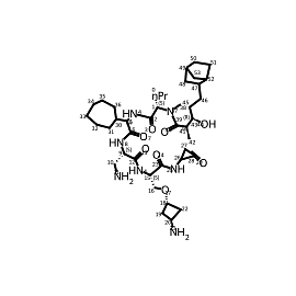 CCC[C@@H](C(=O)N[C@H](C(=O)N[C@@H](CN)C(=O)N[C@@H](CO[C@H]1C[C@H](N)C1)C(=O)NC1CC1=O)C1CCCCCC1)N(C)C(=O)[C@H](C)[C@H](O)CCC1CC2CCC1C2